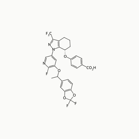 CC(Oc1cc(-n2nc(C(F)(F)F)c3c2[C@@H](Oc2ccc(C(=O)O)cc2)CCC3)cnc1F)c1ccc2c(c1)OC(F)(F)O2